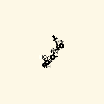 C#CC(C)(C)OCCCC(C)(c1cccc(Br)c1)c1nc(-c2cc(Oc3c(F)cc4[nH]ccc4c3CO)ccc2F)n(C)n1